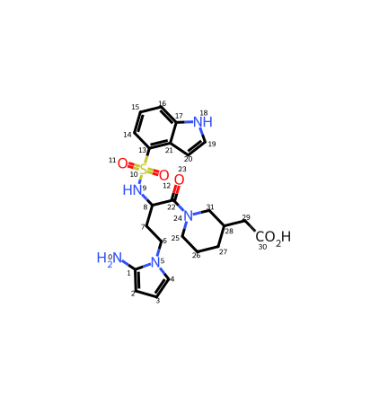 Nc1cccn1CCC(NS(=O)(=O)c1cccc2[nH]ccc12)C(=O)N1CCCC(CC(=O)O)C1